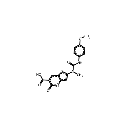 COc1ccc(NC(=O)N(C)c2cc3oc(=O)c(C(=O)O)cc3s2)cc1